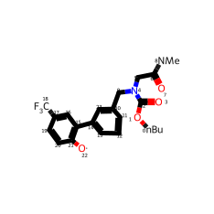 CCCCOC(=O)N(CC(=O)NC)Cc1cccc(-c2cc(C(F)(F)F)ccc2[O])c1